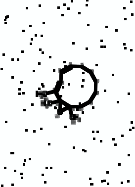 C/C1=C\C=C/CCCCCCC2(C)OC12C